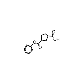 O=C(O)C1CCC(C(=O)Oc2ccccc2)C1